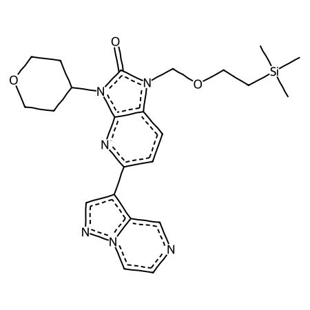 C[Si](C)(C)CCOCn1c(=O)n(C2CCOCC2)c2nc(-c3cnn4ccncc34)ccc21